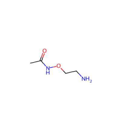 CC(=O)NOCCN